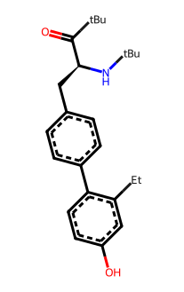 CCc1cc(O)ccc1-c1ccc(C[C@H](NC(C)(C)C)C(=O)C(C)(C)C)cc1